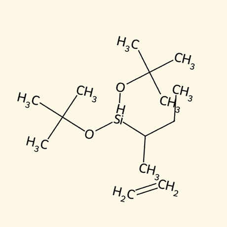 C=C.CCC(C)[SiH](OC(C)(C)C)OC(C)(C)C